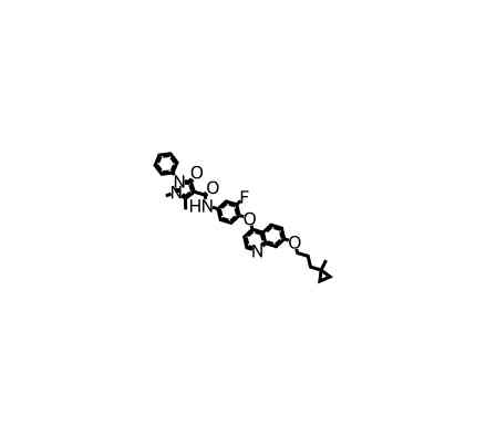 Cc1c(C(=O)Nc2ccc(Oc3ccnc4cc(OCCCC5(C)CC5)ccc34)c(F)c2)c(=O)n(-c2ccccc2)n1C